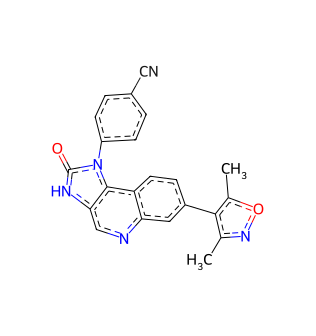 Cc1noc(C)c1-c1ccc2c(c1)ncc1[nH]c(=O)n(-c3ccc(C#N)cc3)c12